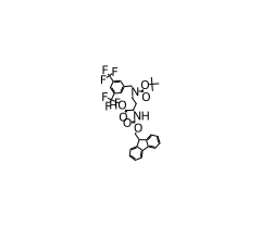 CC(C)(C)OC(=O)N(CCC(NC(=O)OCC1c2ccccc2-c2ccccc21)C(=O)O)Cc1cc(C(F)(F)F)cc(C(F)(F)F)c1